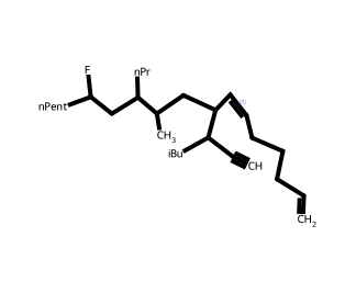 C#CC(C(C)CC)C(/C=C\CCCC=C)CC(C)C(CCC)CC(F)CCCCC